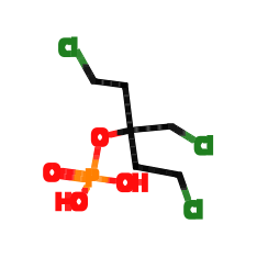 O=P(O)(O)OC(CCl)(CCCl)CCCl